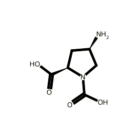 N[C@@H]1C[C@H](C(=O)O)N(C(=O)O)C1